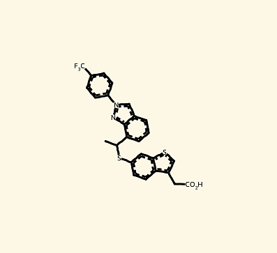 CC(Sc1ccc2c(CC(=O)O)csc2c1)c1cccc2cn(-c3ccc(C(F)(F)F)cc3)nc12